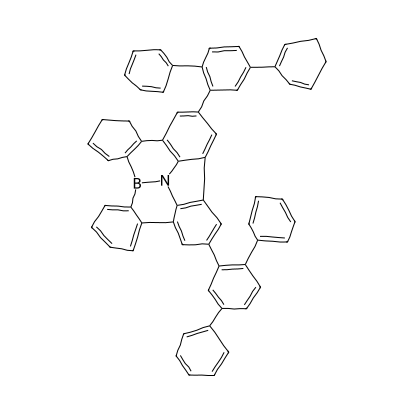 C1=CC(c2ccc(-c3ccccc3)c(-c3cc4c5c(c3)c3cc(-c6cc(-c7ccccc7)ccc6-c6ccccc6)cc6c3n5B(C3=C4CCC=C3)c3ccccc3-6)c2)=CCC1